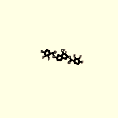 O=C(Oc1cc(C(F)(F)F)c2cc(OC(=O)c3ccc(F)c(F)c3F)ccc2c1)c1ccc(F)c(F)c1F